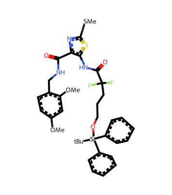 COc1ccc(CNC(=O)c2nc(SC)sc2NC(=O)C(F)(F)CCCO[Si](c2ccccc2)(c2ccccc2)C(C)(C)C)c(OC)c1